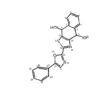 OC1c2ccccc2C(O)c2sc(-c3ncc(-c4ccccc4)o3)nc21